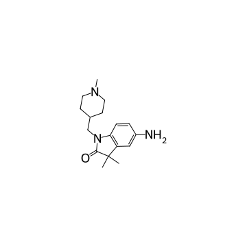 CN1CCC(CN2C(=O)C(C)(C)c3cc(N)ccc32)CC1